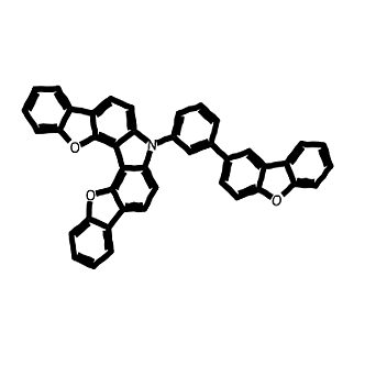 c1cc(-c2ccc3oc4ccccc4c3c2)cc(-n2c3ccc4c5ccccc5oc4c3c3c4oc5ccccc5c4ccc32)c1